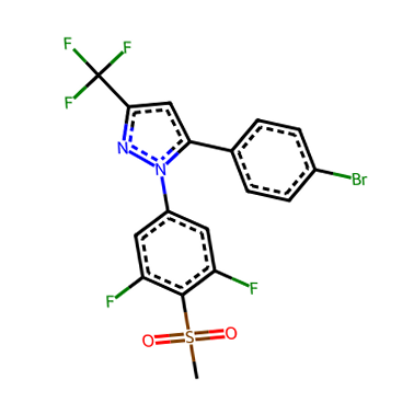 CS(=O)(=O)c1c(F)cc(-n2nc(C(F)(F)F)cc2-c2ccc(Br)cc2)cc1F